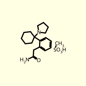 CS(=O)(=O)O.NC(=O)Cc1ccccc1C1(N2CCCC2)CCCCC1